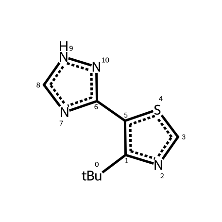 CC(C)(C)c1ncsc1-c1nc[nH]n1